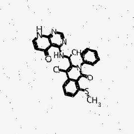 CSc1cccc2c(Cl)c([C@H](C)Nc3ncnc4[nH]ccc(=O)c34)n(-c3ccccc3)c(=O)c12